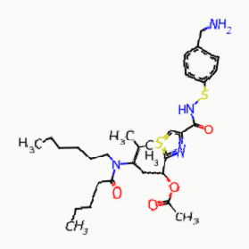 CCCCCCN(C(=O)CCCC)C(CC(OC(C)=O)c1nc(C(=O)NSc2ccc(CN)cc2)cs1)C(C)C